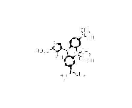 Cc1c(C2c3ccc(N(C)C)cc3[Si](C)(C)c3cc(N(C)C)ccc32)csc1C(=O)O.Cl